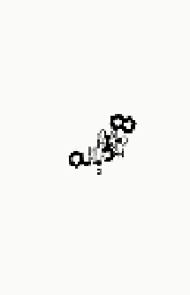 O=C1[C@@H]2C3C[C@H](CN3C(=S)NCC3CCCCC3)N2C(=O)N1c1cccc2ccccc12